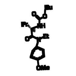 CCC(C)OC(=O)N[C@H](C(=O)N(CC)c1ccc(OC)cc1)C(C)C